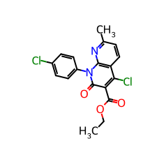 CCOC(=O)c1c(Cl)c2ccc(C)nc2n(-c2ccc(Cl)cc2)c1=O